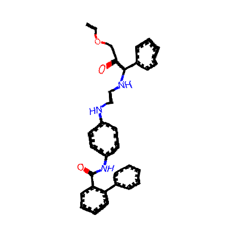 CCOCC(=O)C(NCCNc1ccc(NC(=O)c2ccccc2-c2ccccc2)cc1)c1ccccc1